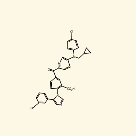 O=C(c1ccc(-n2nncc2-c2cccc(Cl)c2)c(C(=O)O)c1)c1ccc(N(CC2CC2)c2ccc(Cl)cc2)cn1